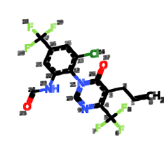 C=CCc1c(C(F)(F)F)ncn(-c2c(Cl)cc(C(F)(F)F)cc2NC=O)c1=O